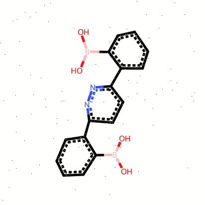 OB(O)c1ccccc1-c1ccc(-c2ccccc2B(O)O)nn1